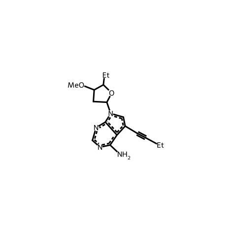 CCC#Cc1cn(C2CC(OC)C(CC)O2)c2ncnc(N)c12